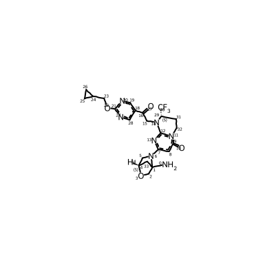 NC12CO[C@H](CN1c1cc(=O)n3c(n1)N(CC(=O)c1cnc(OCC4CC4)nc1)[C@H](C(F)(F)F)CC3)C2